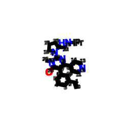 C=Cc1cccc(-c2c(-c3ccncc3)nc(N3CCCC3CNC(C)C)n(C)c2=O)c1